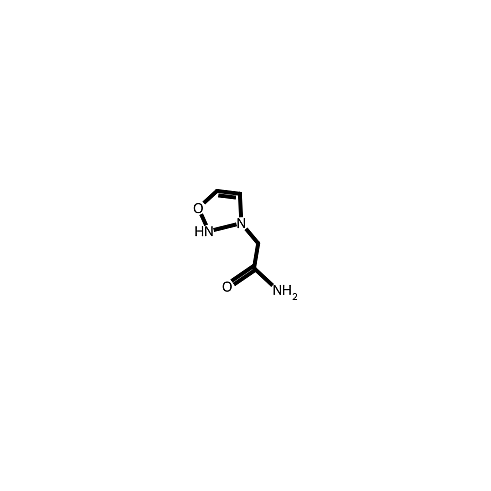 NC(=O)CN1C=CON1